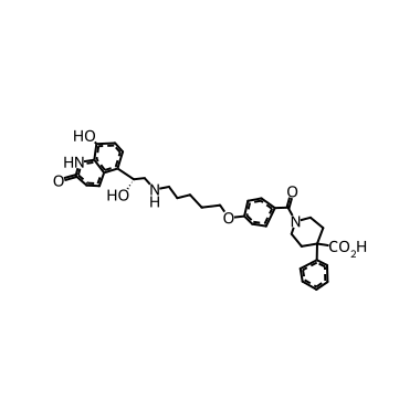 O=C(c1ccc(OCCCCCNC[C@H](O)c2ccc(O)c3[nH]c(=O)ccc23)cc1)N1CCC(C(=O)O)(c2ccccc2)CC1